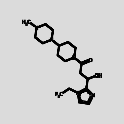 CN1CCN(C2CCN(C(=O)CC(O)c3nccn3CC(F)(F)F)CC2)CC1